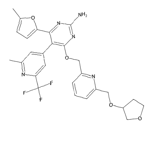 Cc1cc(-c2c(OCc3cccc(COC4CCOC4)n3)nc(N)nc2-c2ccc(C)o2)cc(C(F)(F)F)n1